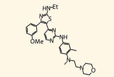 CCNc1nc(-c2cccc(OC)c2)c(-c2ccnc(Nc3ccc(N(C)CCN4CCOCC4)c(C)c3)n2)s1